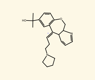 CC(C)(O)c1ccc2c(c1)/C(=C/CCN1CCCC1)C1C=CC=NC1CO2